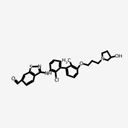 Cc1c(OCCCN2CCC(O)C2)cccc1-c1cccc(Nc2nsc3cc(C=O)ccc23)c1Cl